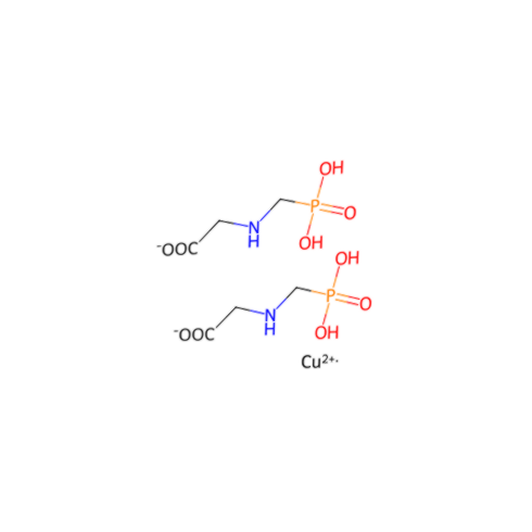 O=C([O-])CNCP(=O)(O)O.O=C([O-])CNCP(=O)(O)O.[Cu+2]